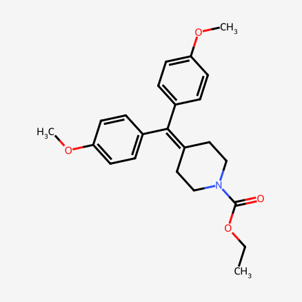 CCOC(=O)N1CCC(=C(c2ccc(OC)cc2)c2ccc(OC)cc2)CC1